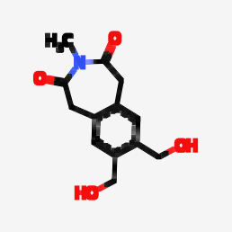 CN1C(=O)Cc2cc(CO)c(CO)cc2CC1=O